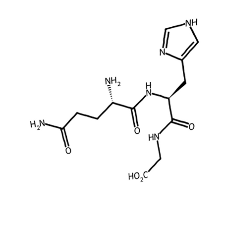 NC(=O)CC[C@H](N)C(=O)N[C@@H](Cc1c[nH]cn1)C(=O)NCC(=O)O